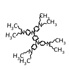 CCCCN(CCCC)c1ccc(N(c2ccc(N(CCCC)CCCC)cc2)c2ccc(N(c3ccc(N(CCCC)CCCC)cc3)c3ccc(N(CCCC)CCCC)cc3)cc2)cc1